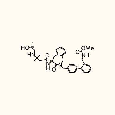 COC(=O)NCc1ccccc1-c1ccc(CN2Cc3ccccc3C[C@@H](NC(=O)CC(C)(C)NC[C@@H](C)O)C2=O)cc1